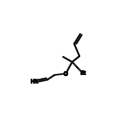 C=CCC(C)(CC)OCC=N